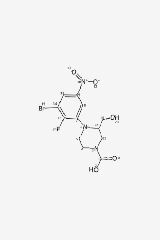 O=C(O)N1CCN(c2cc([N+](=O)[O-])cc(Br)c2F)C(CO)C1